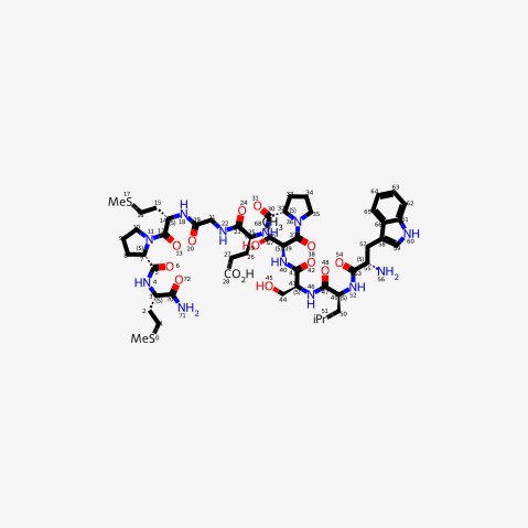 CSCC[C@H](NC(=O)[C@@H]1CCCN1C(=O)[C@H](CCSC)NC(=O)CNC(=O)[C@H](CCC(=O)O)NC(=O)[C@@H]1CCCN1C(=O)[C@@H](NC(=O)[C@H](CO)NC(=O)[C@H](CC(C)C)NC(=O)[C@@H](N)Cc1c[nH]c2ccccc12)[C@@H](C)O)C(N)=O